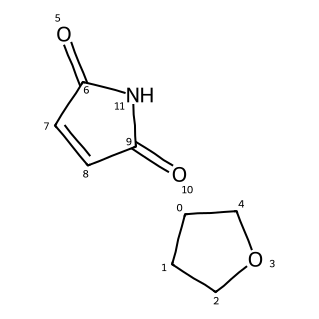 C1CCOC1.O=C1C=CC(=O)N1